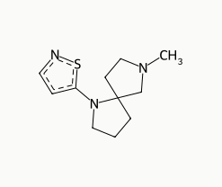 CN1CCC2(CCCN2c2ccns2)C1